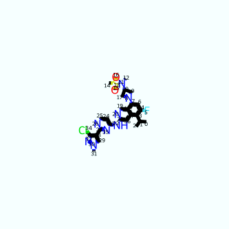 CC(C)c1c(F)cc(N2CC(N(C)S(C)(=O)=O)C2)c2cnc(Nc3ccnc(-c4cn(C)nc4Cl)n3)cc12